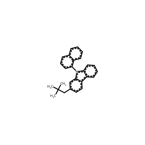 CC(C)(C)Cc1ccc2c3ccccc3n(-c3cccc4ccccc34)c2c1